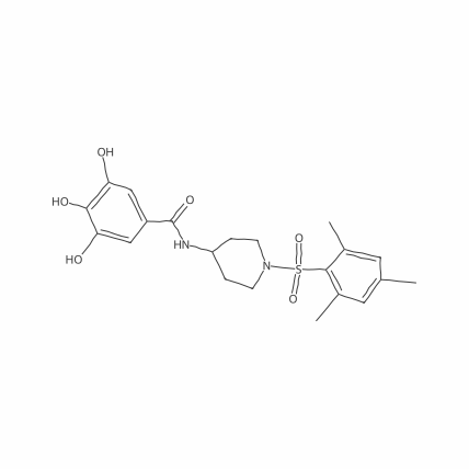 Cc1cc(C)c(S(=O)(=O)N2CCC(NC(=O)c3cc(O)c(O)c(O)c3)CC2)c(C)c1